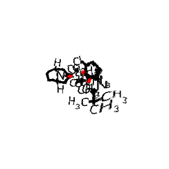 CC(C)(C)OC(=O)N1[C@@H]2CC[C@H]1C[C@@H](S(=O)(=O)c1c(Cl)ccc3nc(C(C)(C)C)oc13)C2